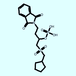 O=C1c2ccccc2C(=O)N1CCC(CS(=O)(=O)CC1CCCC1)OP(=O)(O)O